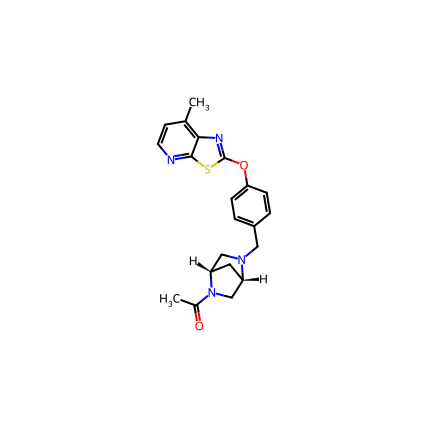 CC(=O)N1C[C@@H]2C[C@H]1CN2Cc1ccc(Oc2nc3c(C)ccnc3s2)cc1